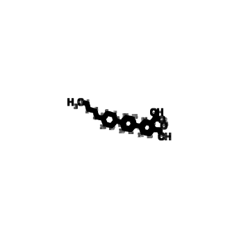 CCCCCC1CCC(c2ccc(-c3ccc(C(=O)O)c(C(=O)O)c3)cc2)CC1